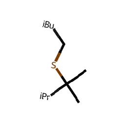 CCC(C)CSC(C)(C)C(C)C